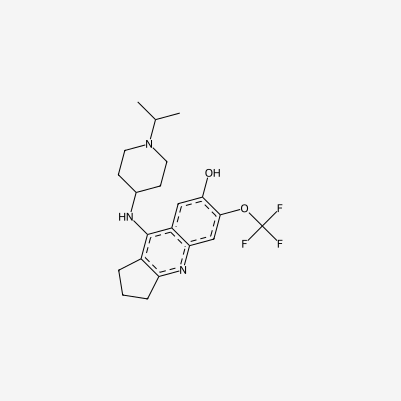 CC(C)N1CCC(Nc2c3c(nc4cc(OC(F)(F)F)c(O)cc24)CCC3)CC1